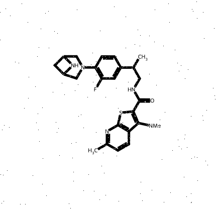 CNc1c(C(=O)NCC(C)c2ccc(N3CC4CC(C3)N4)c(F)c2)sc2nc(C)ccc12